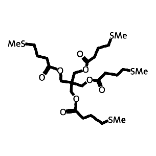 CSCCCC(=O)OCC(COC(=O)CCCSC)(COC(=O)CCCSC)COC(=O)CCCSC